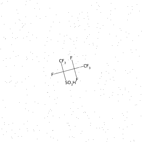 O=S(=O)(O)C(F)(C(F)(F)F)C(F)(F)C(F)(F)F